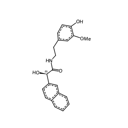 COc1cc(CCNC(=O)[C@H](O)c2ccc3ccccc3c2)ccc1O